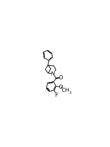 COc1c(F)cccc1C(=O)N1CCC2(c3ccccc3)CC1C2